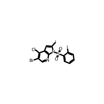 O=S(=O)(c1ccccc1I)n1c(I)cc2c(Cl)c(Br)cnc21